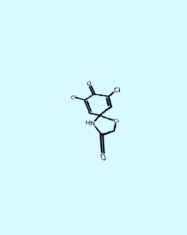 O=C1COC2(C=C(Cl)C(=O)C(Cl)=C2)N1